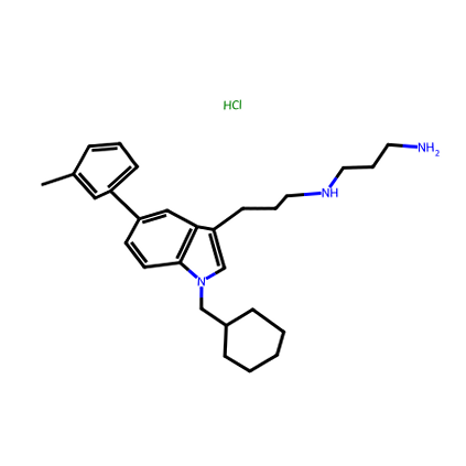 Cc1cccc(-c2ccc3c(c2)c(CCCNCCCN)cn3CC2CCCCC2)c1.Cl